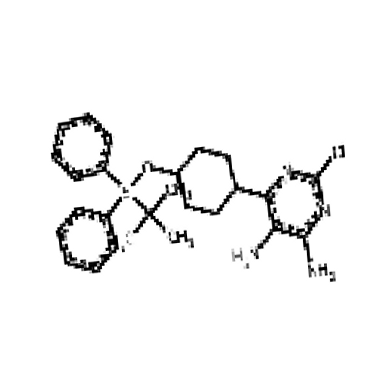 CC(C)(C)[Si](OC1CCC(c2nc(Cl)nc(N)c2N)CC1)(c1ccccc1)c1ccccc1